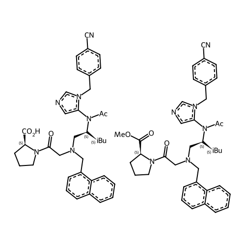 CC[C@H](C)[C@@H](CN(CC(=O)N1CCC[C@H]1C(=O)O)Cc1cccc2ccccc12)N(C(C)=O)c1cncn1Cc1ccc(C#N)cc1.CC[C@H](C)[C@@H](CN(CC(=O)N1CCC[C@H]1C(=O)OC)Cc1cccc2ccccc12)N(C(C)=O)c1cncn1Cc1ccc(C#N)cc1